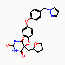 O=C1NC(=O)C(CC2CCCO2)(Oc2ccc(Oc3ccc(Cn4cccn4)cc3)cc2)C(=O)N1